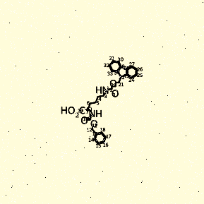 O=C(NCCCC[C@H](NC(=O)OCc1ccccc1)C(=O)O)OCC1c2ccccc2-c2ccccc21